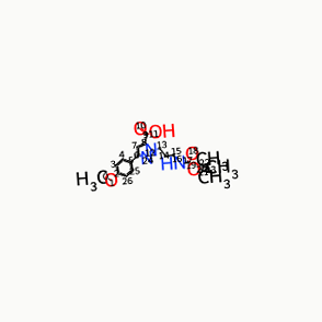 COc1ccc(-c2cc(C(=O)O)n(CCCNC(=O)OC(C)(C)C)n2)cc1